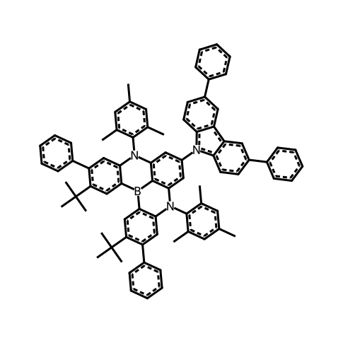 Cc1cc(C)c(N2c3cc(-c4ccccc4)c(C(C)(C)C)cc3B3c4cc(C(C)(C)C)c(-c5ccccc5)cc4N(c4c(C)cc(C)cc4C)c4cc(-n5c6ccc(-c7ccccc7)cc6c6cc(-c7ccccc7)ccc65)cc2c43)c(C)c1